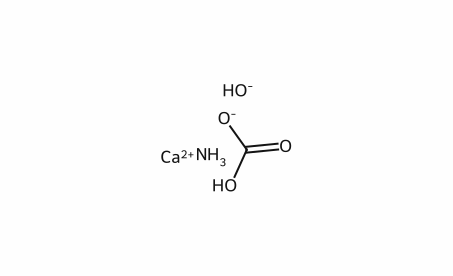 N.O=C([O-])O.[Ca+2].[OH-]